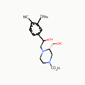 COc1cc(C(O)CN2CCN(C(=O)O)C[C@H]2CO)ccc1C#N